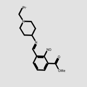 COC(=O)c1cccc(C=NC2CCN(C[C](C)C)CC2)c1N=O